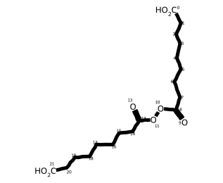 O=C(O)CCCCCCCC(=O)OOC(=O)CCCCCCCC(=O)O